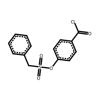 O=C(Cl)c1ccc(OS(=O)(=O)Cc2ccccc2)cc1